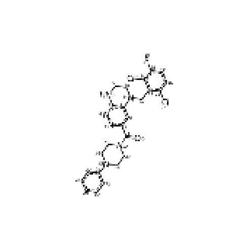 O=C(c1cc2c(nn1)NCCN2Cc1c(Cl)ccc(F)c1Cl)N1CCN(c2ccccc2)CC1